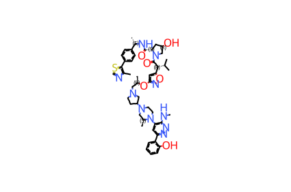 CNc1nnc(-c2ccccc2O)cc1N1CCN(C2CCN(C[C@@H](C)Oc3cc([C@H](C(=O)N4C[C@H](O)C[C@H]4C(=O)N[C@@H](C)c4ccc(-c5scnc5C)cc4)C(C)C)on3)C2)C[C@@H]1C